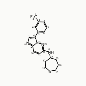 FC(F)(F)c1cccc(-c2cnc3ccc(NC4CCCCCC4)nn23)c1